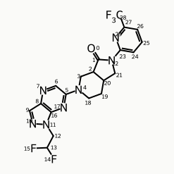 O=C1C2CN(c3cnc4cnn(CC(F)F)c4n3)CCC2CN1c1cccc(C(F)(F)F)n1